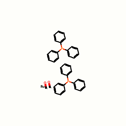 [C]=O.[C]=O.[Ru].c1ccc(P(c2ccccc2)c2ccccc2)cc1.c1ccc(P(c2ccccc2)c2ccccc2)cc1